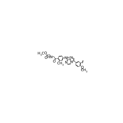 COC(=O)CNCC(=O)c1ccc(Nc2nccn3c(-c4ccc(OC)c(F)c4)cnc23)cc1C